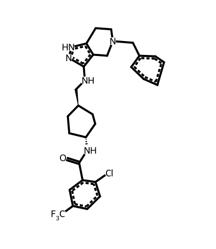 O=C(N[C@H]1CC[C@H](CNc2n[nH]c3c2CN(Cc2ccccc2)CC3)CC1)c1cc(C(F)(F)F)ccc1Cl